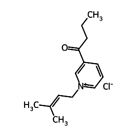 CCCC(=O)c1ccc[n+](CC=C(C)C)c1.[Cl-]